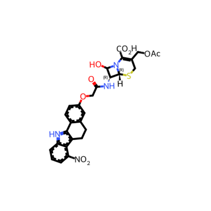 CC(=O)OCC1=C(C(=O)O)N2C(O)[C@@H](NC(=O)COc3ccc4c(c3)CCc3c-4[nH]c4cccc([N+](=O)[O-])c34)[C@H]2SC1